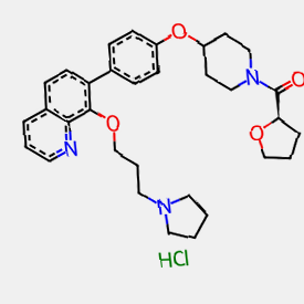 Cl.O=C([C@H]1CCCO1)N1CCC(Oc2ccc(-c3ccc4cccnc4c3OCCCN3CCCC3)cc2)CC1